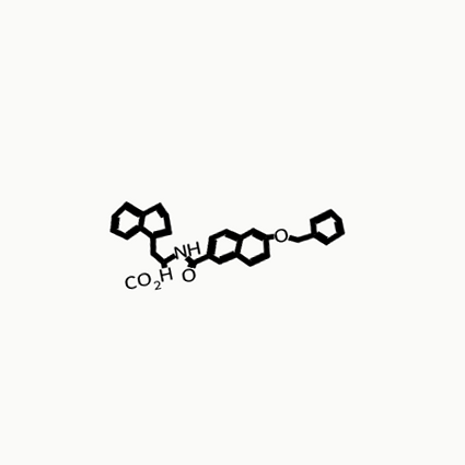 O=C(NC(Cc1cccc2ccccc12)C(=O)O)c1ccc2cc(OCc3ccccc3)ccc2c1